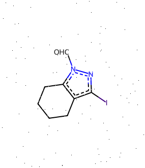 O=Cn1nc(I)c2c1CCCC2